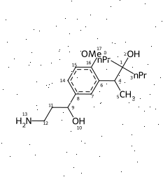 CCCC(O)(CCC)C(C)c1cc(C(O)CCN)ccc1OC